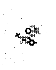 Cc1ccc2nc(C(=O)NCC(C)(C)C)nc(N[C@H]3CCCC[C@H]3NC(=N)N)c2c1